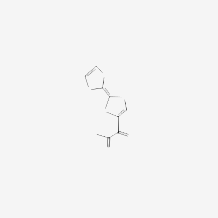 O=C(Cl)C(=O)C1=CSC(=C2SC=CS2)S1